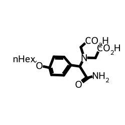 CCCCCCOc1ccc(C(C(N)=O)N(CC(=O)O)CC(=O)O)cc1